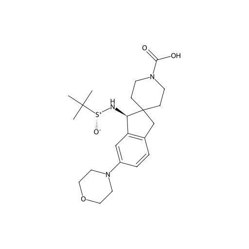 CC(C)(C)[S@@+]([O-])N[C@@H]1c2cc(N3CCOCC3)ccc2CC12CCN(C(=O)O)CC2